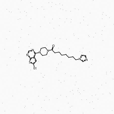 CCc1cc2c(N3CCN(C(=O)CCCCCCCn4ccnc4)CC3)ncnc2s1